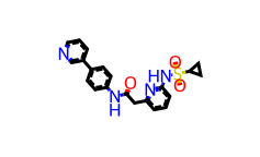 O=C(Cc1cccc(NS(=O)(=O)C2CC2)n1)Nc1ccc(-c2cccnc2)cc1